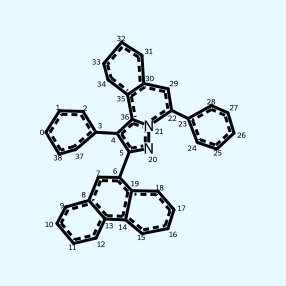 c1ccc(-c2c(-c3cc4ccccc4c4ccccc34)nn3c(-c4ccccc4)cc4ccccc4c23)cc1